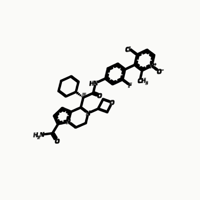 Cc1c(-c2ccc(NC(=O)[C@@H](C3CCCCC3)C3c4ccc(C(N)=O)n4CCN3C3COC3)cc2F)c(Cl)cc[n+]1[O-]